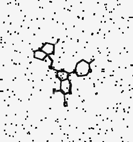 CC1CCN(c2nc(OC[C@@]34CCCN3C[C@H](F)C4)nc3c(F)c(Cl)ncc23)CCO1